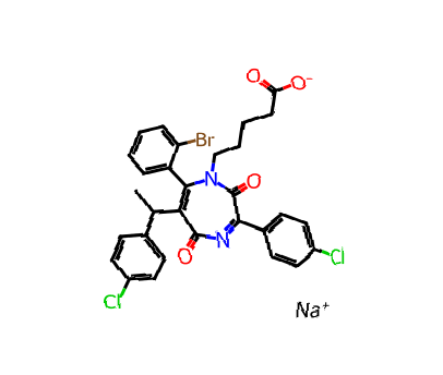 CC(c1ccc(Cl)cc1)c1c(-c2ccccc2Br)n(CCCCC(=O)[O-])c(=O)c(-c2ccc(Cl)cc2)nc1=O.[Na+]